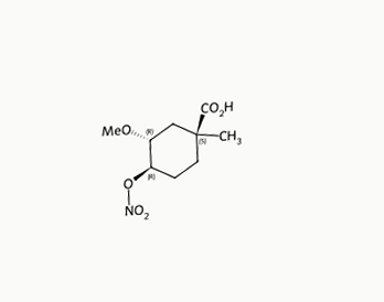 CO[C@@H]1C[C@@](C)(C(=O)O)CC[C@H]1O[N+](=O)[O-]